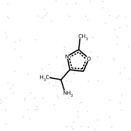 Cc1nc(C(C)N)co1